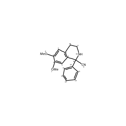 COc1cc2c(cc1OC)C(C#N)(c1ccccc1)NCC2